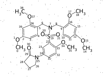 COc1ccc(CN(Cc2ccc(OC)cc2OC)S(=O)(=O)c2cc(N3CCCC3=O)ccc2OC)c(OC)c1